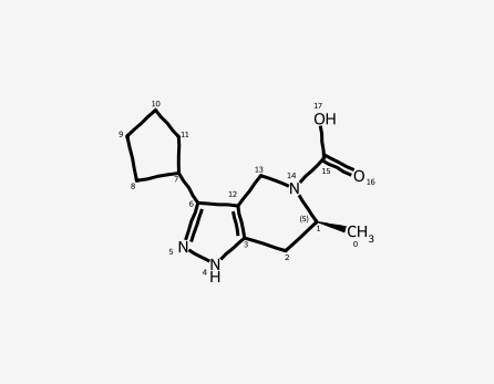 C[C@H]1Cc2[nH]nc(C3CCCC3)c2CN1C(=O)O